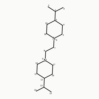 CC(C)C1CCN(CCN2CCC(C(C)C)CC2)CC1